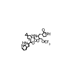 O=C(COC(F)(F)F)C(C[C@@H]1CCNC1=O)NC(=O)[C@@H]1CC2(CC2)CN1C(=O)c1cc2cccnc2[nH]1